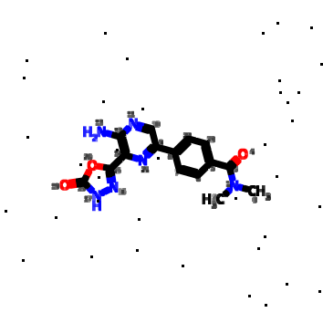 CN(C)C(=O)c1ccc(-c2cnc(N)c(-c3n[nH]c(=O)o3)n2)cc1